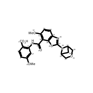 COc1ccc(C(=O)O)c(NC(=O)c2c(OC)ccc3nc(N4C5COCC4C5)sc23)c1